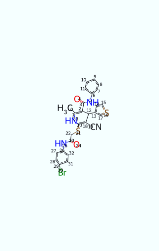 CC1=C(C(=O)Nc2ccccc2)C(c2ccsc2)C(C#N)=C(SCC(=O)Nc2ccc(Br)cc2)N1